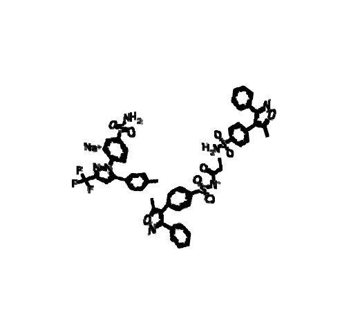 CCC(=O)[N-]S(=O)(=O)c1ccc(-c2c(-c3ccccc3)noc2C)cc1.Cc1ccc(-c2cc(C(F)(F)F)nn2-c2ccc(S(N)(=O)=O)cc2)cc1.Cc1onc(-c2ccccc2)c1-c1ccc(S(N)(=O)=O)cc1.[Na+]